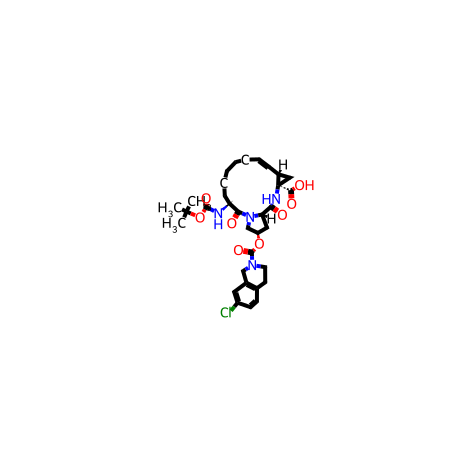 CC(C)(C)OC(=O)N[C@H]1CCCCCC=C[C@@H]2C[C@@]2(C(=O)O)NC(=O)[C@@H]2C[C@@H](OC(=O)N3CCc4ccc(Cl)cc4C3)CN2C1=O